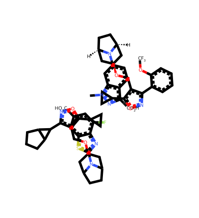 Cn1nc(C(=O)O)c2ccc(N3[C@@H]4CC[C@H]3C[C@@H](OCc3c(-c5ccccc5OC(F)(F)F)noc3C3CC3)C4)cc21.O=C(O)c1cc(F)c2nc(N3C4CCC3CC(OCc3c(C5C6CCCC65)noc3C3CC3)C4)sc2c1